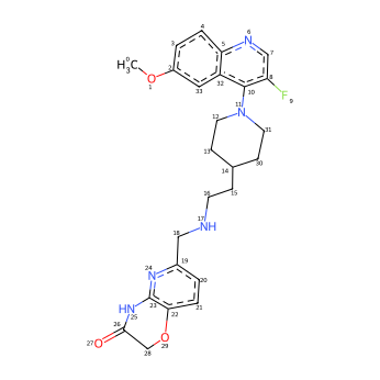 COc1ccc2ncc(F)c(N3CCC(CCNCc4ccc5c(n4)NC(=O)CO5)CC3)c2c1